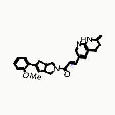 C=C1CCc2cc(/C=C/C(=O)N3CC4C=C(c5ccccc5OC)CC4C3)cnc2N1